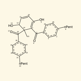 CCCCCc1ccc(C(=O)C2=C(O)C=CC(O)C2(C)C(=O)c2ccc(CCCCC)cc2)cc1